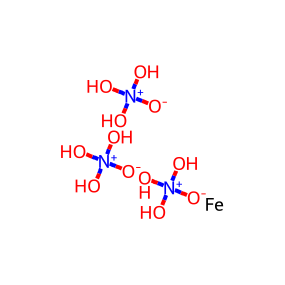 [Fe].[O-][N+](O)(O)O.[O-][N+](O)(O)O.[O-][N+](O)(O)O